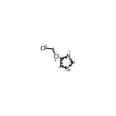 ClCCl.c1cscn1